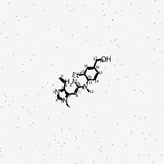 C=Cc1ncn(C)c1/C=C(\N)N(C)[C@@H]1C=CC(CO)=CC1CC